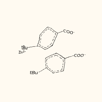 CC(C)(C)c1ccc(C(=O)[O-])cc1.CC(C)(C)c1ccc(C(=O)[O-])cc1.[Zn+2]